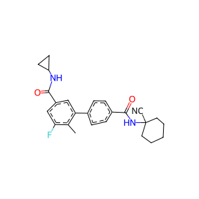 Cc1c(F)cc(C(=O)NC2CC2)cc1-c1ccc(C(=O)NC2(C#N)CCCCC2)cc1